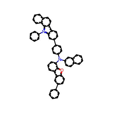 c1ccc(-c2ccc3oc4c(N(c5ccc(-c6ccc7c8ccc9ccccc9c8n(-c8ccccc8)c7c6)cc5)c5ccc6ccccc6c5)cccc4c3c2)cc1